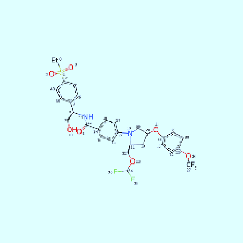 CCS(=O)(=O)c1ccc([C@H](CO)NC(=O)c2ccc(N3CC(Oc4ccc(OC(F)(F)F)cc4)C[C@H]3COC(F)F)cc2)cc1